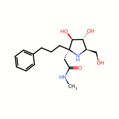 CNC(=O)C[C@@]1(CCCc2ccccc2)N[C@H](CO)[C@@H](O)[C@@H]1O